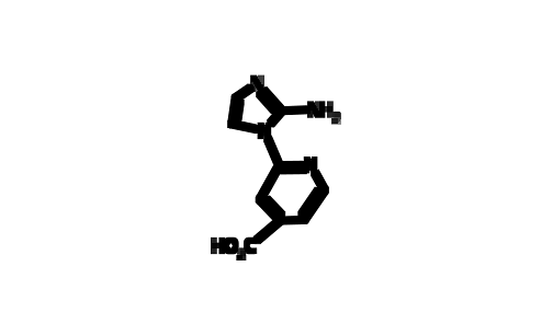 Nc1nccn1-c1cc(C(=O)O)ccn1